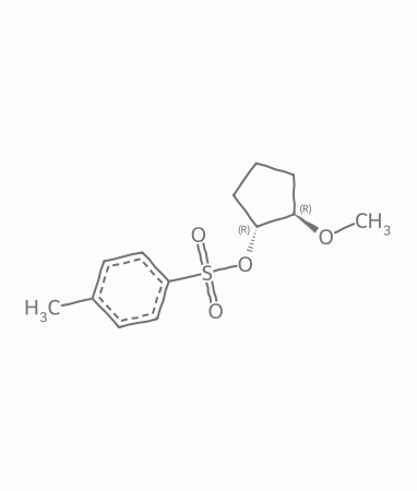 CO[C@@H]1CCC[C@H]1OS(=O)(=O)c1ccc(C)cc1